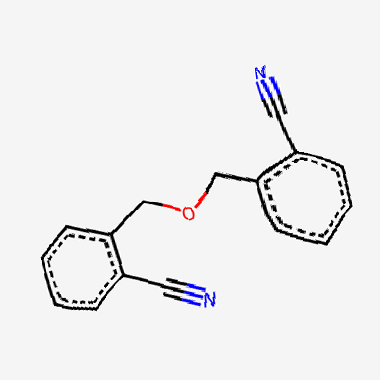 N#Cc1ccccc1COCc1ccccc1C#N